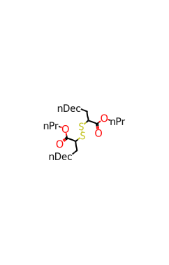 CCCCCCCCCCCC(SSC(CCCCCCCCCCC)C(=O)OCCC)C(=O)OCCC